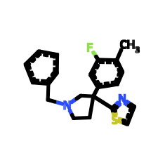 Cc1ccc(C2(c3nccs3)CCN(Cc3ccccc3)C2)cc1F